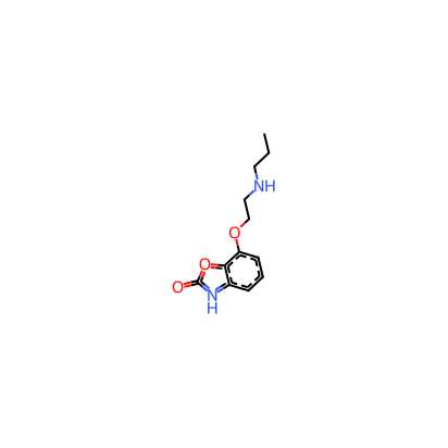 CCCNCCOc1cccc2[nH]c(=O)oc12